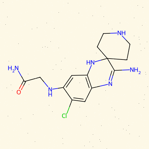 NC(=O)CNc1cc2c(cc1Cl)N=C(N)C1(CCNCC1)N2